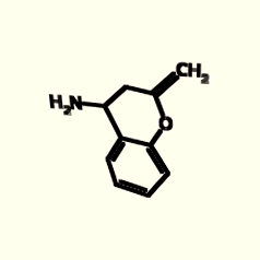 C=C1CC(N)c2ccccc2O1